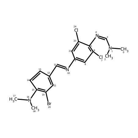 CN(C)/C=N\c1c(Cl)cc(/N=C/c2ccc(N(C)C)c(Br)c2)cc1Cl